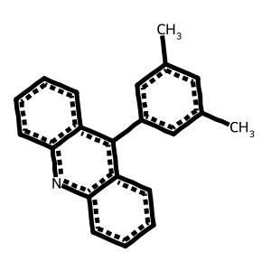 Cc1cc(C)cc(-c2c3ccccc3nc3ccccc23)c1